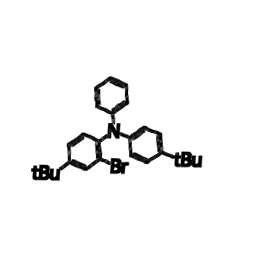 CC(C)(C)c1ccc(N(c2ccccc2)c2ccc(C(C)(C)C)cc2Br)cc1